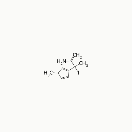 C=C(N)C(C)(I)C1=CC(C)C=C1